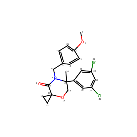 COc1ccc(CN2C(=O)C3(CC3)OCC2(C)c2cc(Cl)cc(Br)c2)cc1